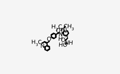 C=CC[C@@]1(NC(=O)c2ccc(OCc3cc(C)nc4ccccc34)cc2)C[C@H](CC(=O)NO)CCN1CC